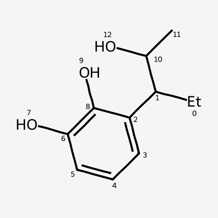 CCC(c1cccc(O)c1O)C(C)O